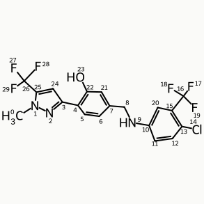 Cn1nc(-c2ccc(CNc3ccc(Cl)c(C(F)(F)F)c3)cc2O)cc1C(F)(F)F